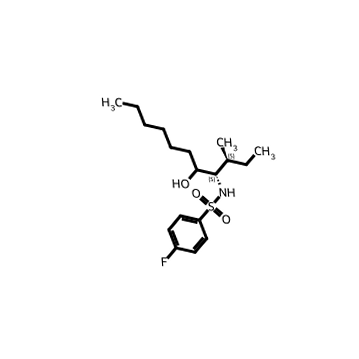 CCCCCCC(O)[C@@H](NS(=O)(=O)c1ccc(F)cc1)[C@@H](C)CC